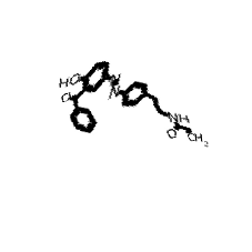 C=CC(=O)NCCc1ccc(N=Nc2ccc(O)c(C(=O)c3ccccc3)c2)cc1